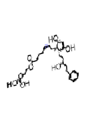 O=C(CCC/C=C\C[C@@H]1[C@@H](CC[C@@H](O)CCc2ccccc2)[C@H](O)C[C@@H]1O)OCCON(O)O